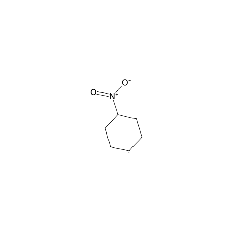 O=[N+]([O-])C1CC[CH]CC1